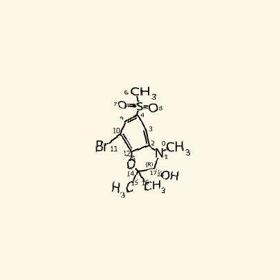 CN1c2cc(S(C)(=O)=O)cc(Br)c2OC(C)(C)[C@H]1O